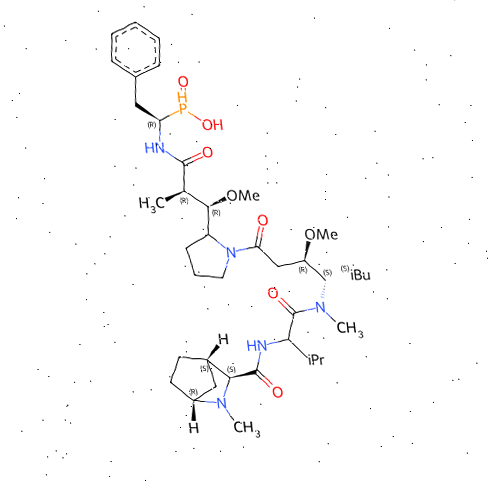 CC[C@H](C)[C@@H]([C@@H](CC(=O)N1CCCC1[C@H](OC)[C@@H](C)C(=O)N[C@@H](Cc1ccccc1)[PH](=O)O)OC)N(C)C(=O)C(NC(=O)[C@@H]1[C@H]2CC[C@H](C2)N1C)C(C)C